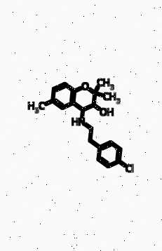 Cc1ccc2c(c1)C(NCCc1ccc(Cl)cc1)C(O)C(C)(C)O2